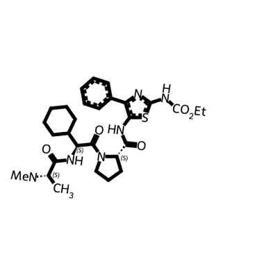 CCOC(=O)Nc1nc(-c2ccccc2)c(NC(=O)[C@@H]2CCCN2C(=O)[C@@H](NC(=O)[C@H](C)NC)C2CCCCC2)s1